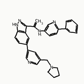 C=C(Nc1ccc(-c2ccccc2)nc1)c1n[nH]c2ccc(-c3cncc(CN4CCCC4)c3)cc12